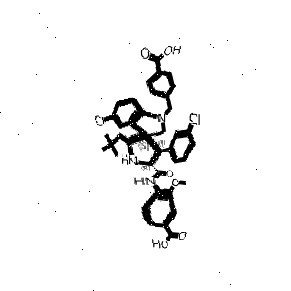 COc1cc(C(=O)O)ccc1NC(=O)[C@@H]1NC(CC(C)(C)C)[C@@]2(CN(Cc3ccc(C(=O)O)cc3)c3ccc(Cl)cc32)[C@H]1c1cccc(Cl)c1